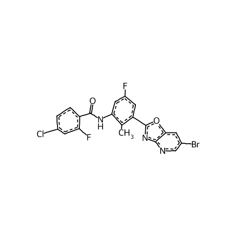 Cc1c(NC(=O)c2ccc(Cl)cc2F)cc(F)cc1-c1nc2ncc(Br)cc2o1